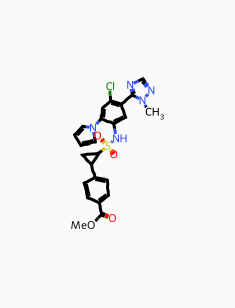 COC(=O)c1ccc(C2CC2S(=O)(=O)Nc2cc(-c3ncnn3C)c(Cl)cc2-n2cccc2)cc1